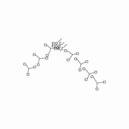 CCOC(C)=O.CCOC(C)=O.CCOC(C)=O.ClC(Cl)Cl.ClC(Cl)Cl.ClC(Cl)Cl.ClC(Cl)Cl.ClC(Cl)Cl.ClC(Cl)Cl.ClC(Cl)Cl